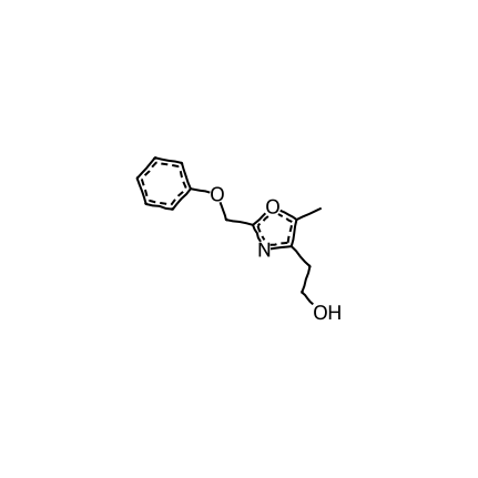 Cc1oc(COc2ccccc2)nc1CCO